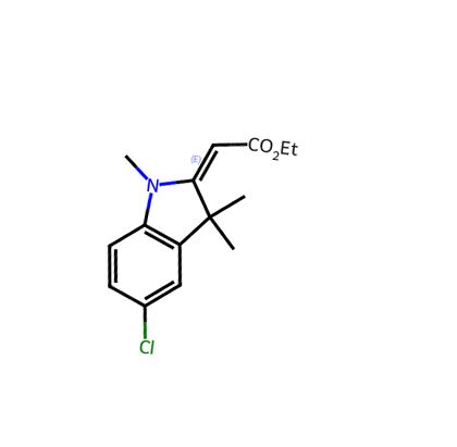 CCOC(=O)/C=C1/N(C)c2ccc(Cl)cc2C1(C)C